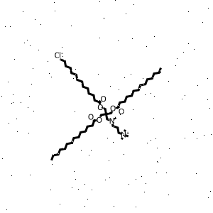 CCCCCCCCCCCCCC(=O)OCC(COC(=O)CCCCCCCCCCCCC)(COC(=O)CCCCCCCCCCCCC)CN(C)CCC[N+](C)(C)C.[Cl-]